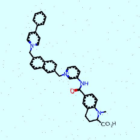 CN1c2ccc(C(=O)Nc3ccc[n+](Cc4ccc5cc(C[n+]6ccc(-c7ccccc7)cc6)ccc5c4)c3)cc2CCC1C(=O)O